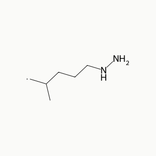 [CH2]C(C)CCCNN